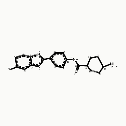 Cc1ccc2nc(-c3ccc(NC(=O)C4CCC(N)CC4)cc3)sc2c1